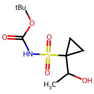 CC(O)C1(S(=O)(=O)NC(=O)OC(C)(C)C)CC1